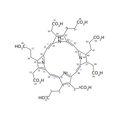 O=C(O)CCC1=C(CC(=O)O)C2=NC/1=C\C1=C(CC(=O)O)C(CCC(=O)O)C(=N1)/C=c1\[nH]/c(c(CCC(=O)O)c1CC(=O)O)=C\C1=NC(=C\2)/C(CC(=O)O)C1CCC(=O)O